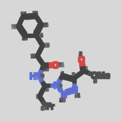 COC(=O)c1cn(C(CC(C)C)NC(=O)CCc2ccccc2)nn1